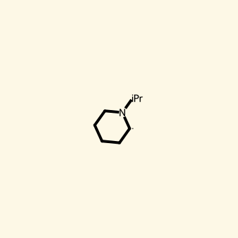 CC(C)N1[CH]CCCC1